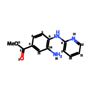 COC(=O)c1ccc(Nc2ccccn2)c(N)c1